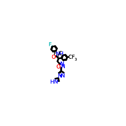 O=C(Nc1ccc(F)cc1)C(Cc1nnc(-c2cnn(C3CNC3)c2)o1)c1ccc(C(F)(F)F)cc1C(F)(F)F